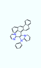 C1=CCN2C(=C1)N(c1ccccc1)C(c1ncccn1)=C2c1c2ccccc2cc2c1ccc1ccccc12